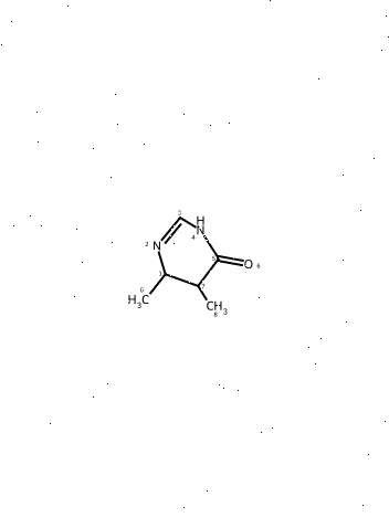 CC1N=CNC(=O)C1C